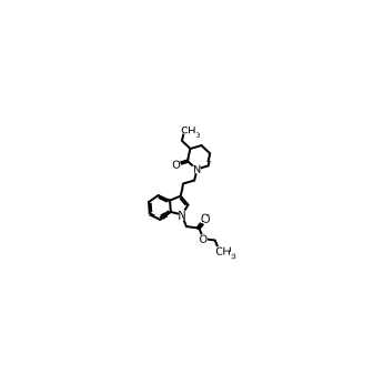 CCOC(=O)Cn1cc(CCN2CCCC(CC)C2=O)c2ccccc21